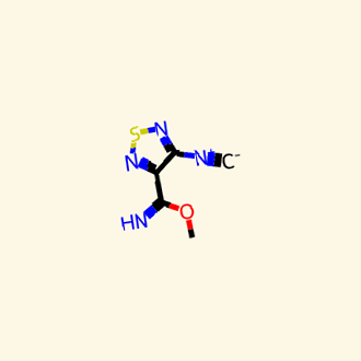 [C-]#[N+]c1nsnc1C(=N)OC